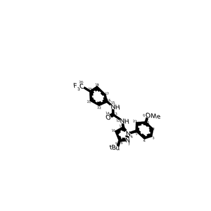 COc1cccc(-n2nc(C(C)(C)C)cc2NC(=O)Nc2ccc(C(F)(F)F)cc2)c1